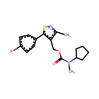 Cc1nsc(-c2ccc(Br)cc2)c1COC(=O)N(C)C1CCCC1